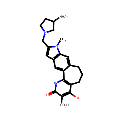 CC(=O)NC1CCN(Cc2cc3cc4c(cc3n2C)CCCc2c-4[nH]c(=O)c(C(=O)O)c2O)C1